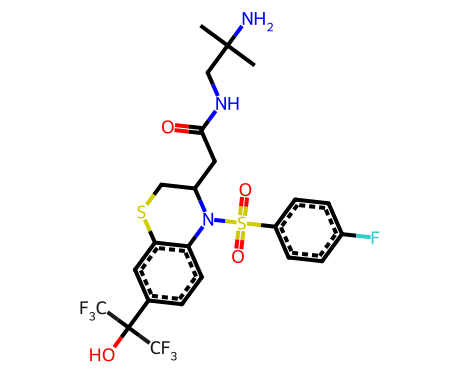 CC(C)(N)CNC(=O)CC1CSc2cc(C(O)(C(F)(F)F)C(F)(F)F)ccc2N1S(=O)(=O)c1ccc(F)cc1